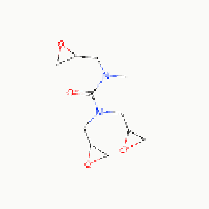 CN(CC1CO1)C(=O)N(CC1CO1)CC1CO1